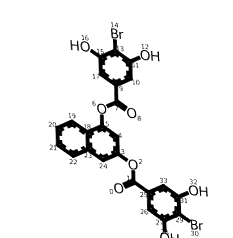 O=C(Oc1cc(OC(=O)c2cc(O)c(Br)c(O)c2)c2ccccc2c1)c1cc(O)c(Br)c(O)c1